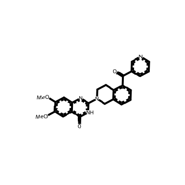 COc1cc2nc(N3CCc4c(cccc4C(=O)c4cccnc4)C3)[nH]c(=O)c2cc1OC